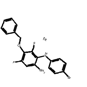 Nc1cc(F)c(OCc2ccccc2)c(F)c1Nc1ccc(Br)cc1.[Fe]